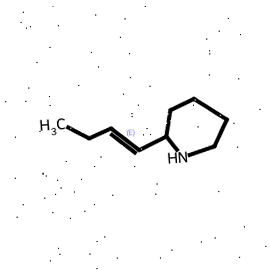 CC/C=C/C1CCCCN1